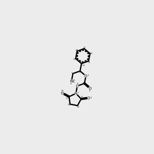 [C-]#[N+]CC(OC(=O)ON1C(=O)CCC1=O)c1ccccc1